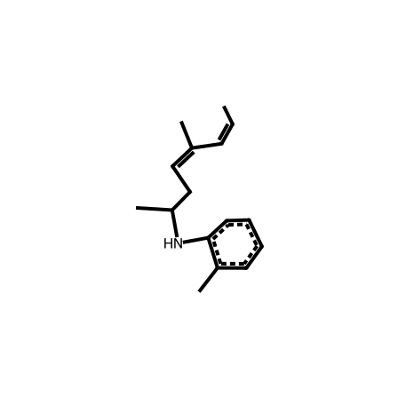 C/C=C\C(C)=C/CC(C)Nc1ccccc1C